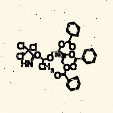 CC(OC[C@H](OC(=O)c1ccccc1)[C@H](COC(=O)c1ccccc1)OC(=O)c1ccccc1)OC(=N)C(Cl)(Cl)Cl